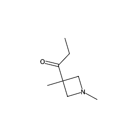 CCC(=O)C1(C)CN(C)C1